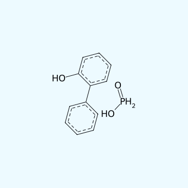 O=[PH2]O.Oc1ccccc1-c1ccccc1